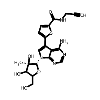 C#CCNC(=O)c1ccc(-c2cn([C@@H]3OC(CO)C(O)[C@@]3(C)O)c3ncnc(N)c23)s1